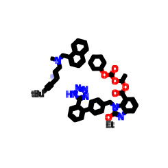 CCOc1nc2cccc(C(=O)OC(C)OC(=O)OC3CCCCC3)c2n1Cc1ccc(-c2ccccc2-c2nnn[nH]2)cc1.CN(C/C=C/C#CC(C)(C)C)Cc1cccc2ccccc12